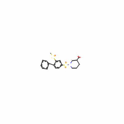 CS(=O)(=O)c1cc(S(=O)(=O)N2CCCC(C(=O)O)C2)ccc1-c1ccccc1